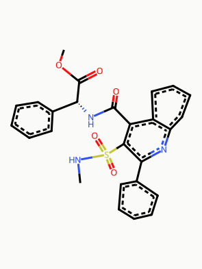 CNS(=O)(=O)c1c(-c2ccccc2)nc2ccccc2c1C(=O)N[C@@H](C(=O)OC)c1ccccc1